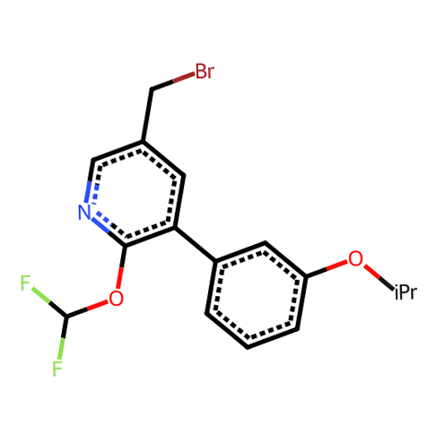 CC(C)Oc1cccc(-c2cc(CBr)cnc2OC(F)F)c1